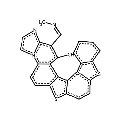 C/N=C\c1c(C)c2c3c(ccc2n2ccnc12)sc1ccc2sc4ccccc4c2c13